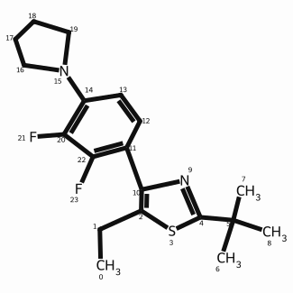 CCc1sc(C(C)(C)C)nc1-c1ccc(N2CCCC2)c(F)c1F